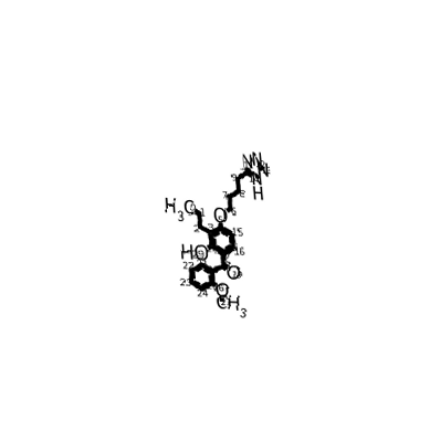 CCCc1c(OCCCCc2nnn[nH]2)ccc(C(=O)c2ccccc2OC)c1O